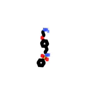 NCCOc1ccc(CCNS(=O)(=O)c2ccccc2)cc1